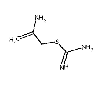 C=C(N)CSC(=N)N